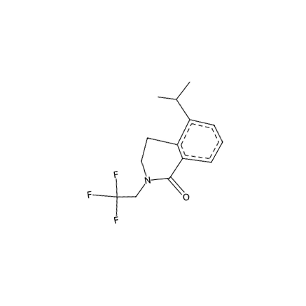 CC(C)c1cccc2c1CCN(CC(F)(F)F)C2=O